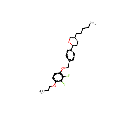 CCCCCC1CCC(c2ccc(COc3ccc(OCCC)c(F)c3F)cc2)OC1